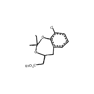 CCOC(=O)CC1Cc2cccc(Cl)c2OC(C)(C)O1